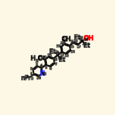 CCCc1ccc(-c2ccc(C(CC)(CC)c3ccc(/C=C/C(O)(CC)CC)c(C)c3)cc2C)nc1